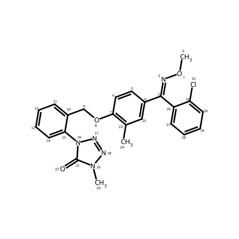 CON=C(c1ccc(OCc2ccccc2-n2nnn(C)c2=O)c(C)c1)c1ccccc1Cl